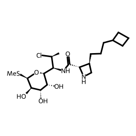 CS[C@H]1O[C@H]([C@H](NC(=O)[C@H]2NC[C@@H]2CCCC2CCC2)[C@H](C)Cl)[C@H](O)[C@H](O)[C@H]1O